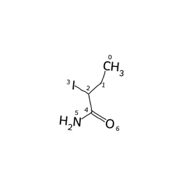 CCC(I)C(N)=O